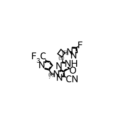 C[C@H](c1ccc(C(F)(F)F)nc1)n1nc(C#N)c2c(=O)[nH]c([C@H]3CC[C@@H]3n3cc(F)cn3)nc21